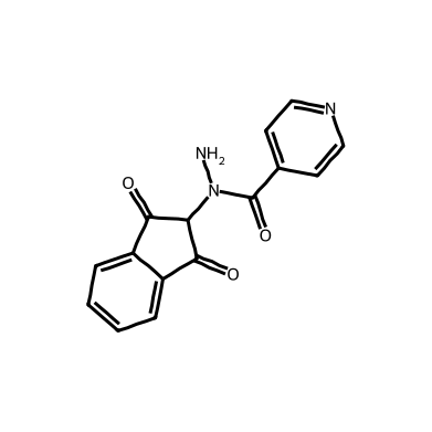 NN(C(=O)c1ccncc1)C1C(=O)c2ccccc2C1=O